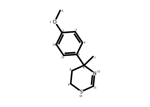 COc1ccc(C2(C)CCSC=N2)cc1